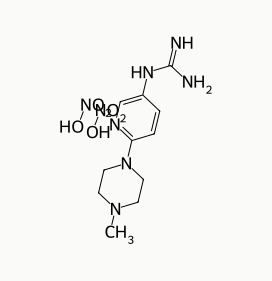 CN1CCN(c2ccc(NC(=N)N)cn2)CC1.O=[N+]([O-])O.O=[N+]([O-])O